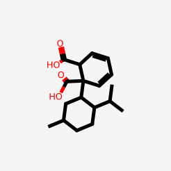 CC1CCC(C(C)C)C(C2(C(=O)O)C=CC=CC2C(=O)O)C1